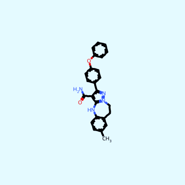 Cc1ccc2c(c1)CCn1nc(-c3ccc(Oc4ccccc4)cc3)c(C(N)=O)c1N2